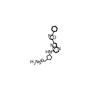 NSOCC1CCC(Nc2ccnc3cc(-c4cnc(-c5ccccc5)o4)nn23)C1